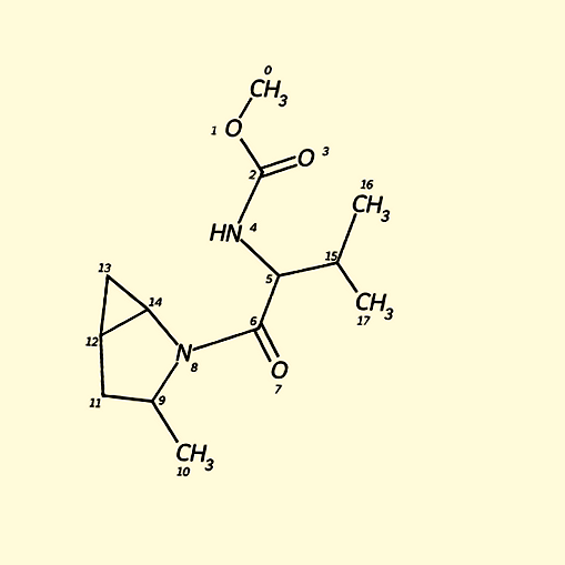 COC(=O)NC(C(=O)N1C(C)CC2CC21)C(C)C